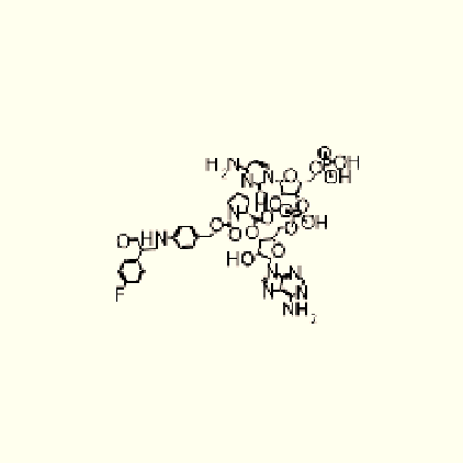 Nc1ccn([C@@H]2O[C@H](COP(=O)(O)O)[C@@H](OP(=O)(O)OC[C@H]3O[C@@H](n4cnc5c(N)ncnc54)[C@H](O)[C@@H]3OC(=O)[C@@H]3CCCN3C(=O)OCc3ccc(NCC(C=O)c4ccc(F)cc4)cc3)[C@H]2O)c(=O)n1